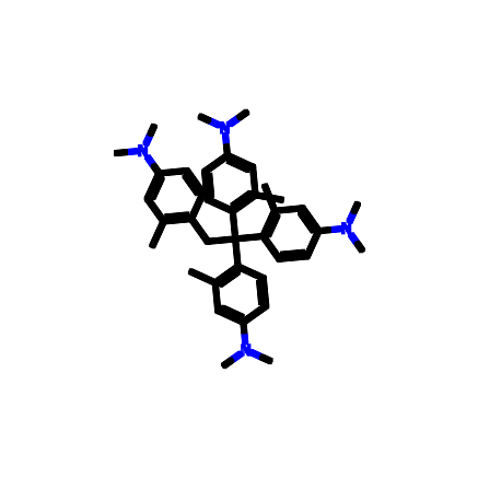 Cc1cc(N(C)C)ccc1CC(c1ccc(N(C)C)cc1C)(c1ccc(N(C)C)cc1C)c1ccc(N(C)C)cc1C